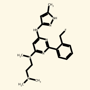 Cc1cc(Nc2cc(N(C)CCN(C)C)nc(-c3ccccc3CF)n2)n[nH]1